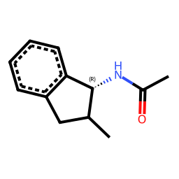 CC(=O)N[C@H]1c2ccccc2CC1C